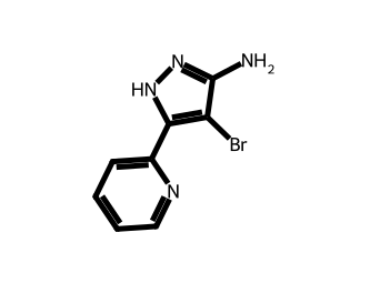 Nc1n[nH]c(-c2ccccn2)c1Br